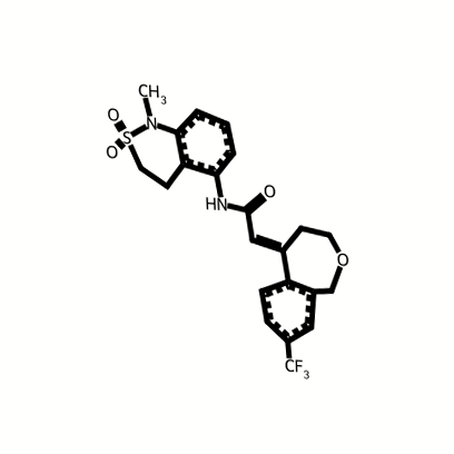 CN1c2cccc(NC(=O)C=C3CCOCc4cc(C(F)(F)F)ccc43)c2CCS1(=O)=O